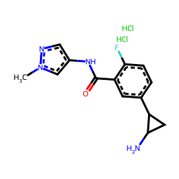 Cl.Cl.Cn1cc(NC(=O)c2cc(C3CC3N)ccc2F)cn1